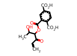 C=CC(=O)C(OC(=O)c1cc(C(=O)O)ccc1C(=O)O)C(C)O